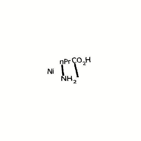 CC(=O)O.CCCN.[Ni]